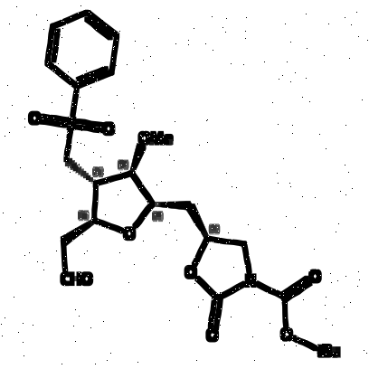 CO[C@@H]1[C@@H](CS(=O)(=O)c2ccccc2)[C@H](CC=O)O[C@@H]1C[C@H]1CN(C(=O)OC(C)(C)C)C(=O)O1